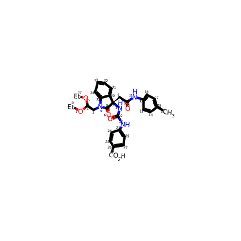 CCOC(CN1C(=O)[C@@](CC(=O)Nc2ccc(C)cc2)(NC(=O)Nc2ccc(C(=O)O)cc2)c2ccccc21)OCC